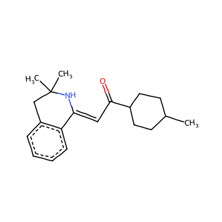 CC1CCC(C(=O)/C=C2\NC(C)(C)Cc3ccccc32)CC1